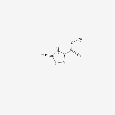 O=C1CCC(C(=O)[O][Zn])N1